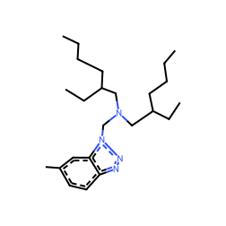 CCCCC(CC)CN(CC(CC)CCCC)Cn1nnc2ccc(C)cc21